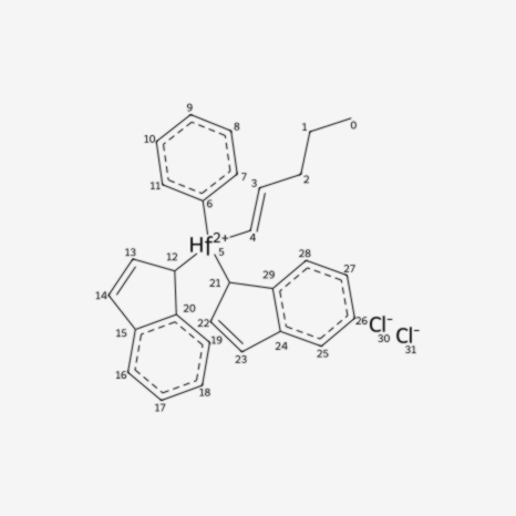 CCCC=[CH][Hf+2]([c]1ccccc1)([CH]1C=Cc2ccccc21)[CH]1C=Cc2ccccc21.[Cl-].[Cl-]